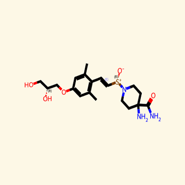 Cc1cc(OC[C@H](O)CO)cc(C)c1/C=C/[S@+]([O-])N1CCC(N)(C(N)=O)CC1